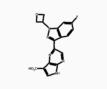 O=C(O)c1c[nH]c2ncc(-c3nn(C4COC4)c4cc(F)ccc34)nc12